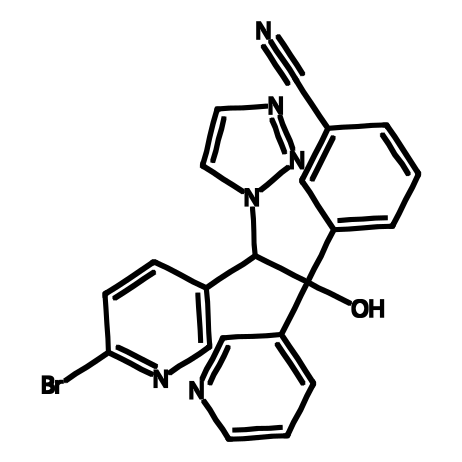 N#Cc1cccc(C(O)(c2cccnc2)C(c2ccc(Br)nc2)n2ccnn2)c1